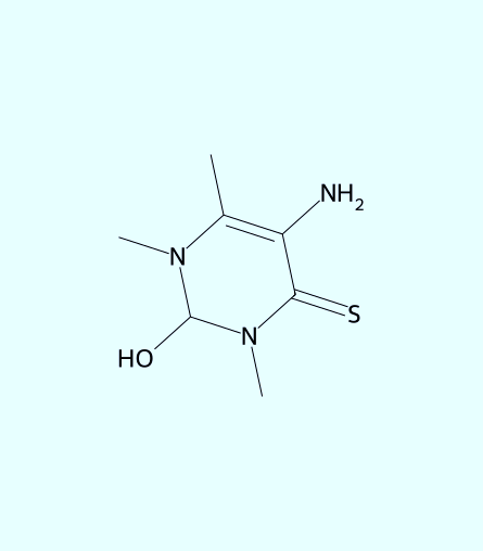 CC1=C(N)C(=S)N(C)C(O)N1C